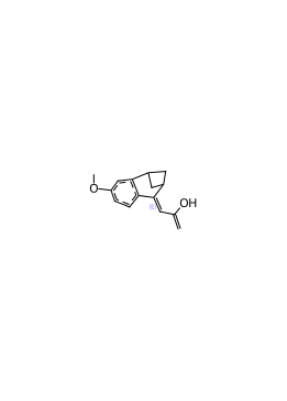 C=C(O)/C=C1/c2ccc(OC)cc2C2CC1C2